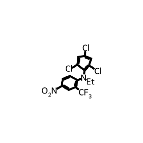 CCN(c1ccc([N+](=O)[O-])cc1C(F)(F)F)c1c(Cl)cc(Cl)cc1Cl